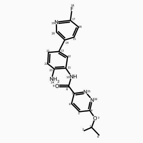 CC(C)Oc1ccc(C(=O)Nc2cc(-c3ccc(F)nc3)ccc2N)nn1